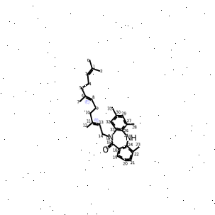 CC(C)=CCC/C(C)=C/CC/C(C)=C/CN1C(=O)c2cccc(C)c2Nc2c(C)cc(C)cc21